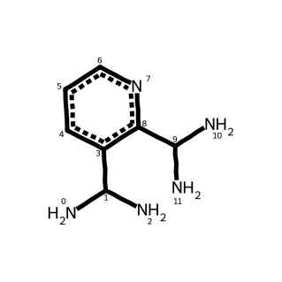 NC(N)c1cccnc1C(N)N